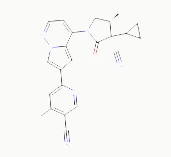 Cc1cc(-c2cc3c(N4C[C@@H](C)[C@@](C#N)(C5CC5)C4=O)ccnn3c2)ncc1C#N